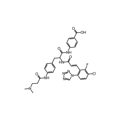 CN(C)CCC(=O)Nc1ccc(CC(NC(=O)C=Cc2c(-n3cnnn3)ccc(Cl)c2F)C(=O)Nc2ccc(C(=O)O)cc2)cc1